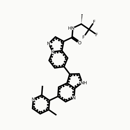 Cc1ccnc(C)c1-c1cnc2[nH]cc(-c3ccn4ncc(C(=O)N[C@H](C)C(F)(F)F)c4c3)c2c1